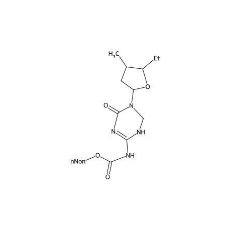 CCCCCCCCCOC(=O)NC1=NC(=O)N(C2CC(C)C(CC)O2)CN1